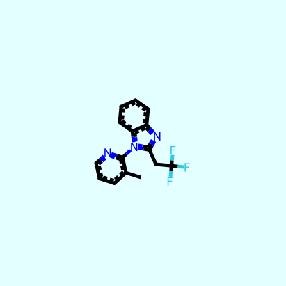 Cc1cccnc1-n1c(CC(F)(F)F)nc2ccccc21